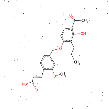 CCCc1c(OCc2ccc(/C=C/C(=O)O)c(OC)c2)ccc(C(C)=O)c1O